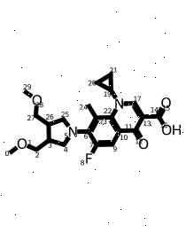 COCC1CN(c2c(F)cc3c(=O)c(C(=O)O)cn(C4CC4)c3c2C)CC1COC